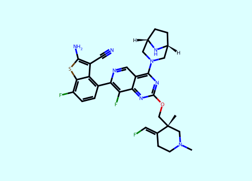 CN1CC/C(=C\F)[C@](C)(COc2nc(N3C[C@H]4CC[C@@H](C3)N4)c3cnc(-c4ccc(F)c5sc(N)c(C#N)c45)c(F)c3n2)C1